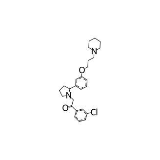 O=C(CN1CCCC1c1cccc(OCCCN2CCCCC2)c1)c1cccc(Cl)c1